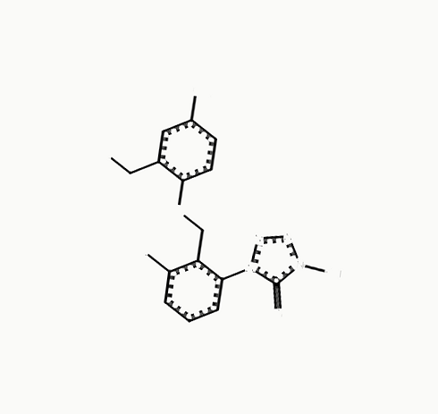 CCc1cc(C)ccc1OCc1c(Cl)cccc1-n1nnn(C)c1=O